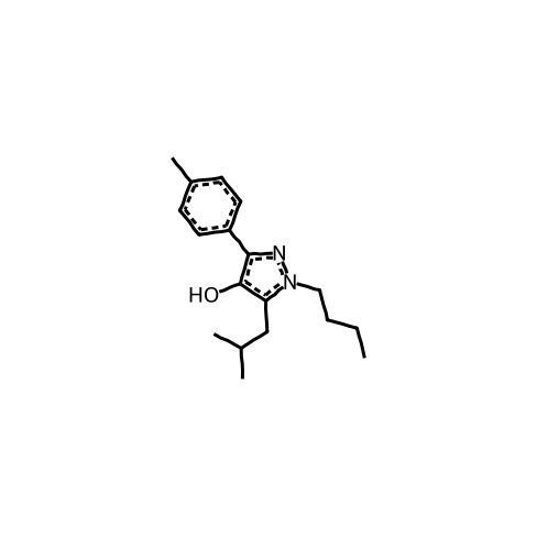 CCCCn1nc(-c2ccc(C)cc2)c(O)c1CC(C)C